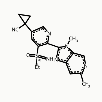 CC[S@@](=N)(=O)c1cc(C2(C#N)CC2)cnc1-c1nc2cc(C(F)(F)F)ncc2n1C